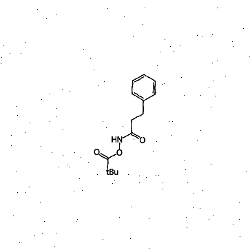 CC(C)(C)C(=O)ONC(=O)CCc1ccccc1